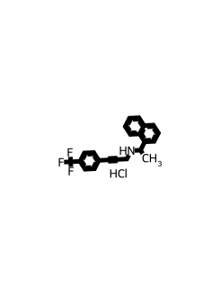 CC(NCC#Cc1ccc(C(F)(F)F)cc1)c1cccc2ccccc12.Cl